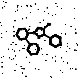 Brc1cn(-c2ccccc2-c2ccccc2)nc1-c1ccncc1